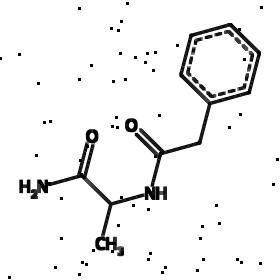 CC(NC(=O)Cc1ccccc1)C(N)=O